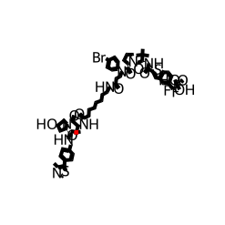 Cc1ncsc1-c1ccc(CNC(=O)[C@@H]2C[C@@H](O)CN2C(=O)[C@@H](NC(=O)CCCCCCCNC(=O)CCN(C(=O)[C@@H]2CCCN2C(=O)[C@@H](NC(=O)c2cc3cc(C(F)(F)P(=O)(O)O)ccc3s2)C(C)(C)C)c2ccc(Br)cc2)C(C)(C)C)cc1